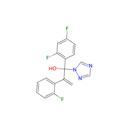 C=C(c1ccccc1F)C(O)(c1ccc(F)cc1F)n1cncn1